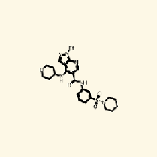 CCn1ncc2c(NC3CCOCC3)c(C(=O)Nc3cccc(S(=O)(=O)N4CCCCC4)c3)cnc21